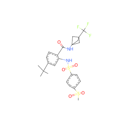 CC(C)(C)c1ccc(C(=O)NC23CC(C(F)(F)F)(C2)C3)c(NS(=O)(=O)c2ccc(S(C)(=O)=O)cc2)c1